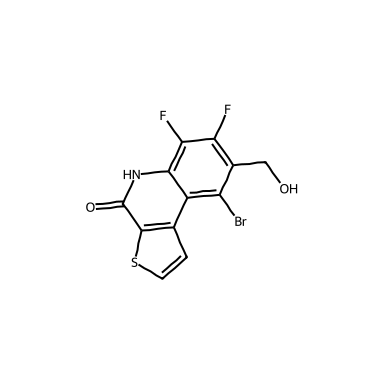 O=c1[nH]c2c(F)c(F)c(CO)c(Br)c2c2ccsc12